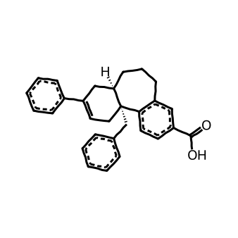 O=C(O)c1ccc2c(c1)CCC[C@@H]1CC(c3ccccc3)=CC[C@]21Cc1ccccc1